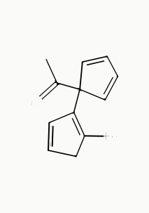 CC(=O)C1(C2=[C]([Fe])CC=C2)C=CC=C1